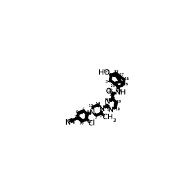 CC1CN(c2ccc(C#N)cc2Cl)CCN1c1nccc(C(=O)NC2C3CC4CC2CC(O)(C4)C3)n1